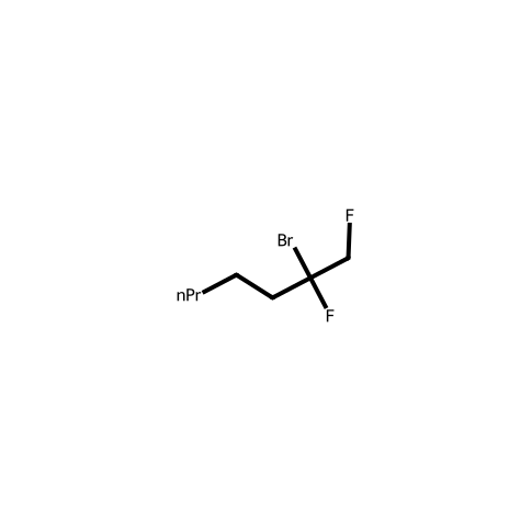 CCCCCC(F)(Br)CF